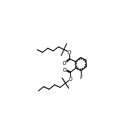 CCCCCC(C)(C)OC(=O)c1cccc(F)c1C(=O)OC(C)(C)CCCCC